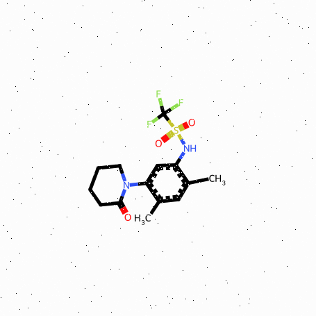 Cc1cc(C)c(N2CCCCC2=O)cc1NS(=O)(=O)C(F)(F)F